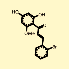 COc1cc(O)cc(O)c1C(=O)C=Cc1ccccc1Br